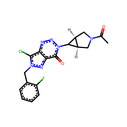 CC(=O)N1C[C@@H]2C(n3nnc4c(Cl)n(Cc5ccccc5F)nc4c3=O)[C@@H]2C1